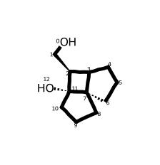 OC[C@H]1C2CCC[C@@]23CCC[C@@]13O